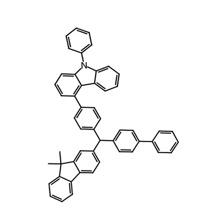 CC1(C)c2ccccc2-c2ccc(C(c3ccc(-c4ccccc4)cc3)c3ccc(-c4cccc5c4c4ccccc4n5-c4ccccc4)cc3)cc21